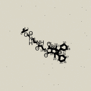 CC(C)(C)OC(=O)NCCNC(=O)CCN1C(=O)C2C3(C)C(=O)C(C)(C(c4ccccc4)=C3c3ccccc3)C2(Br)C1=O